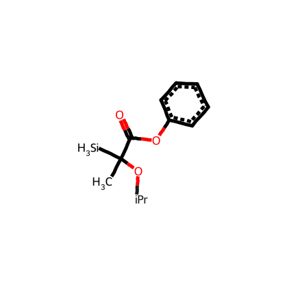 CC(C)OC(C)([SiH3])C(=O)Oc1ccccc1